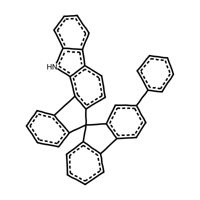 c1ccc(-c2ccc3c(c2)C2(c4ccccc4-3)c3ccccc3-c3c2ccc2c3[nH]c3ccccc32)cc1